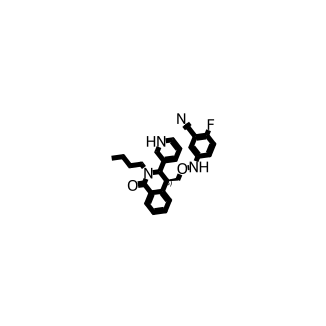 CCCCN1C(=O)c2ccccc2[C@H](CONc2ccc(F)c(C#N)c2)C1C1=CC=CNC1